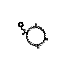 O=C(OCc1ccccc1)C1CCCCCCCNCCCNCCCOCCNCCCC1